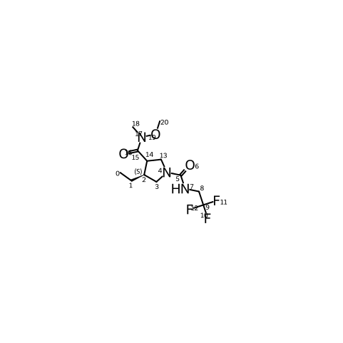 CC[C@@H]1CN(C(=O)NCC(F)(F)F)CC1C(=O)N(C)OC